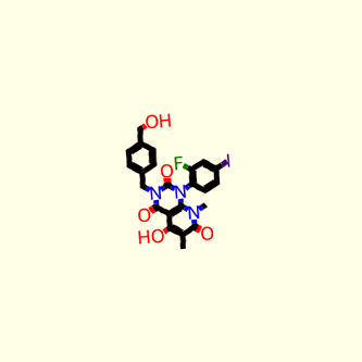 Cc1c(O)c2c(=O)n(Cc3ccc(CO)cc3)c(=O)n(-c3ccc(I)cc3F)c2n(C)c1=O